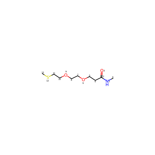 CNC(=O)CCOCCOCCSC